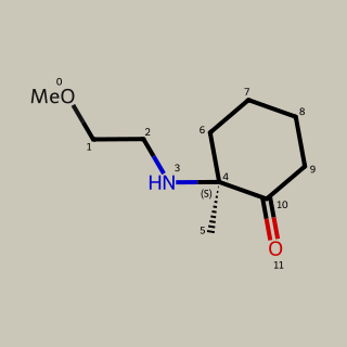 COCCN[C@@]1(C)CCCCC1=O